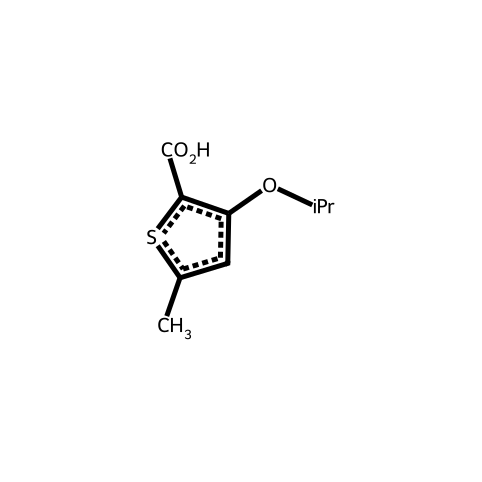 Cc1cc(OC(C)C)c(C(=O)O)s1